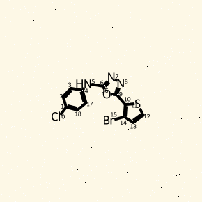 Clc1ccc(Nc2nnc(-c3sccc3Br)o2)cc1